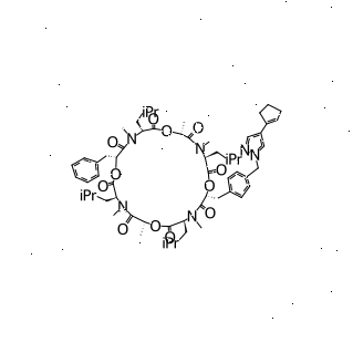 CC(C)C[C@H]1C(=O)O[C@H](Cc2ccc(Cn3cc(C4=CCCC4)cn3)cc2)C(=O)N(C)[C@@H](CC(C)C)C(=O)O[C@H](C)C(=O)N(C)[C@@H](CC(C)C)C(=O)O[C@H](Cc2ccccc2)C(=O)N(C)[C@@H](CC(C)C)C(=O)O[C@H](C)C(=O)N1C